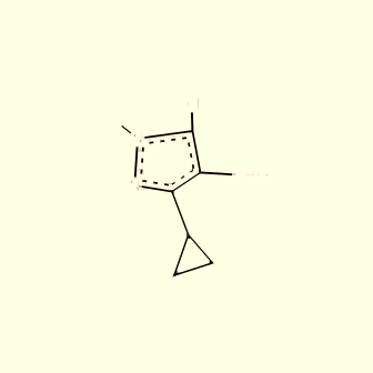 CCn1nc(C2CC2)c(C=O)c1Cl